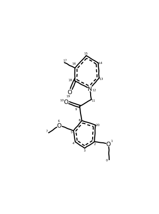 COc1ccc(OC)c(C(=O)Cn2cccc(C)c2=O)c1